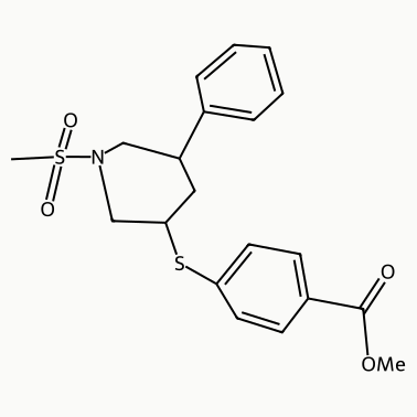 COC(=O)c1ccc(SC2CC(c3ccccc3)CN(S(C)(=O)=O)C2)cc1